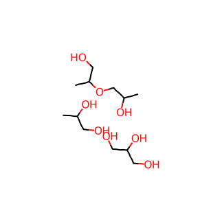 CC(O)CO.CC(O)COC(C)CO.OCC(O)CO